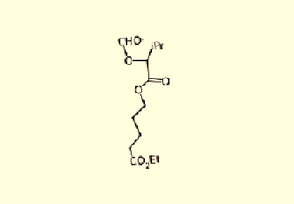 CCOC(=O)CCCCOC(=O)C(O[C]=O)C(C)C